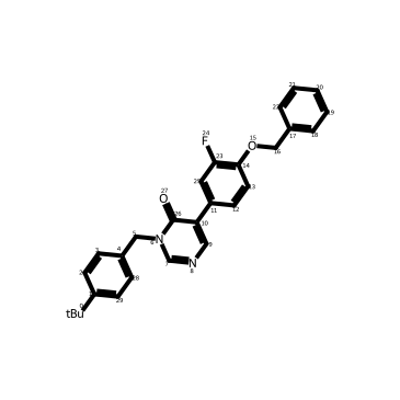 CC(C)(C)c1ccc(Cn2cncc(-c3ccc(OCc4ccccc4)c(F)c3)c2=O)cc1